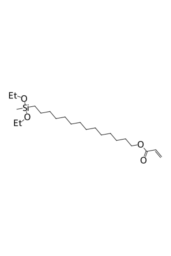 C=CC(=O)OCCCCCCCCCCCCCC[Si](C)(OCC)OCC